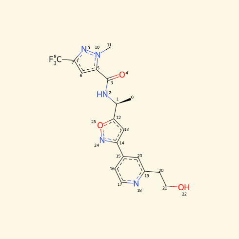 C[C@H](NC(=O)c1cc(C(F)(F)F)nn1C)c1cc(-c2ccnc(CCO)c2)no1